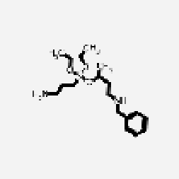 CCO[Si](CCCN)(OCC)OC(C)CCNCc1ccccc1